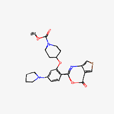 CC(C)(C)OC(=O)N1CCC(Oc2cc(N3CCCC3)ccc2-c2nc3cscc3c(=O)o2)CC1